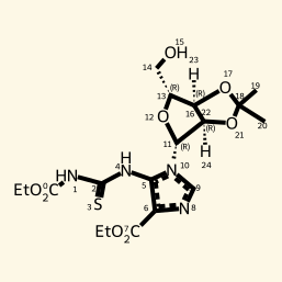 CCOC(=O)NC(=S)Nc1c(C(=O)OCC)ncn1[C@@H]1O[C@H](CO)[C@H]2OC(C)(C)O[C@H]21